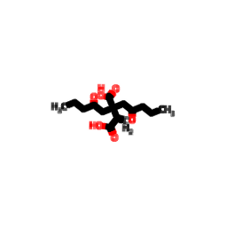 C=C(C(=O)O)C(CC(=O)CCC)(CC(=O)CCC)C(=O)O